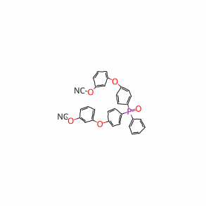 N#COc1cccc(Oc2ccc(P(=O)(c3ccccc3)c3ccc(Oc4cccc(OC#N)c4)cc3)cc2)c1